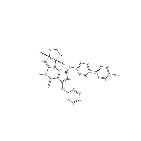 CN1C(=O)c2c(Nc3ccccc3)nn(Cc3ccc(-c4ccc(F)cc4)cc3)c2N2C1=N[C@@H]1CCC[C@@H]12